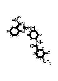 CN(C)c1nc(N[C@H]2CC[C@@H](NC(=O)c3ccc(C(F)(F)F)c(F)c3)CC2)nc2c1CCCC2